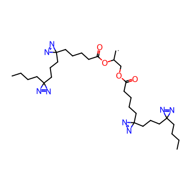 [CH2]C(COC(=O)CCCCC1(CCCC2(CCCC)N=N2)N=N1)OC(=O)CCCCC1(CCCC2(CCCC)N=N2)N=N1